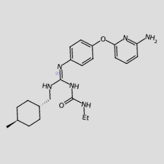 CCNC(=O)N/C(=N\c1ccc(Oc2cccc(N)n2)cc1)NC[C@H]1CC[C@H](C)CC1